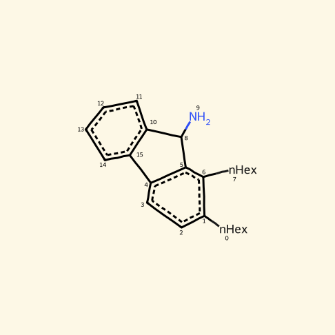 CCCCCCc1ccc2c(c1CCCCCC)C(N)c1ccccc1-2